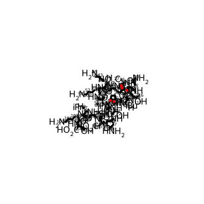 CC[C@H](C)[C@H](NC(=O)[C@@H]1CCCN1)C(=O)N[C@H](C(=O)N[C@@H](CC(N)=O)C(=O)N[C@@H](CC(=O)O)C(=O)N[C@@H](CCC(N)=O)C(=O)N[C@@H](CCCCN)C(=O)N[C@@H](CCCCN)C(=O)N[C@@H](CC(C)C)C(=O)N[C@@H](CS)C(=O)N[C@@H](CO)C(=O)N[C@@H](CC(N)=O)C(=O)N[C@@H](CC(=O)O)C(=O)N[C@@H](CS)C(=O)N[C@@H](CC(C)C)C(=O)N[C@@H](CCCCN)C(=O)N[C@@H](CO)C(=O)O)[C@@H](C)O